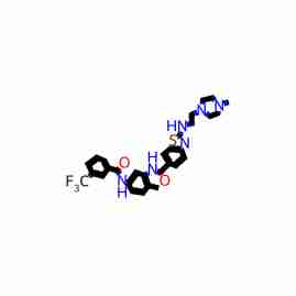 Cc1ccc(NC(=O)c2cccc(C(F)(F)F)c2)cc1NC(=O)c1ccc2nc(NCCN3CCN(C)CC3)sc2c1